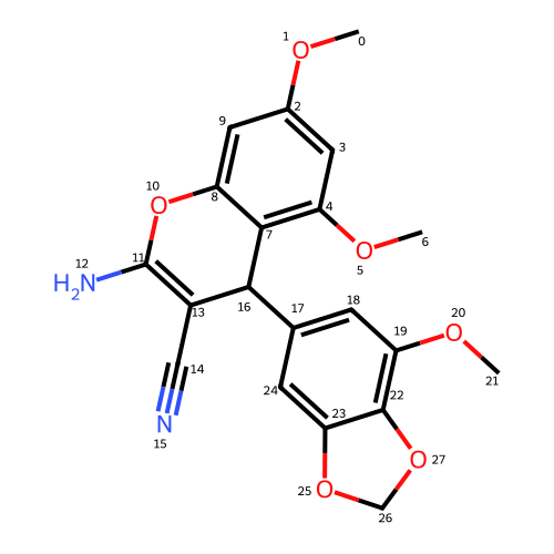 COc1cc(OC)c2c(c1)OC(N)=C(C#N)C2c1cc(OC)c2c(c1)OCO2